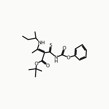 CCC(C)NC(C)=C(C(=O)OC(C)(C)C)C(=S)NC(=O)Oc1ccccc1